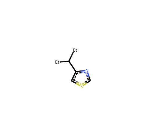 CCC(CC)c1cscn1